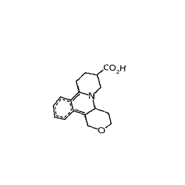 O=C(O)C1CCC2=c3ccccc3=C3COCCC3N2C1